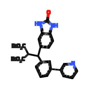 CCOC(=O)C(C(=O)OCC)C(c1cccc(-c2cccnc2)c1)c1ccc2[nH]c(=O)[nH]c2c1